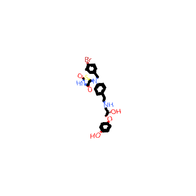 O=C1NC(=O)C(N(Cc2ccc(Br)cc2)c2ccc(CCNC[C@H](O)COc3ccc(O)cc3)cc2)S1